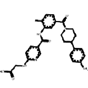 Cc1ccc(C(=O)N2CCC(c3ccc(N)cc3)CC2)cc1NC(=O)c1ccc(NCC(=O)O)nc1